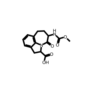 COC(=O)NC1CCc2cccc3c2N(C1=O)C(C(=O)O)C3